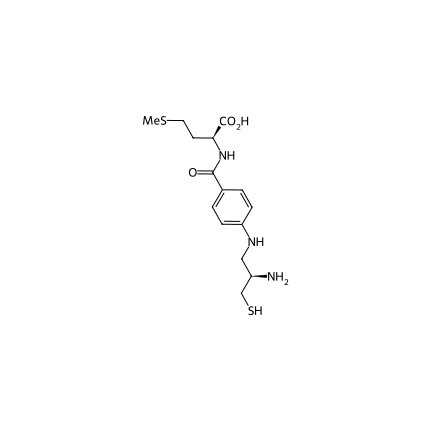 CSCC[C@H](NC(=O)c1ccc(NC[C@@H](N)CS)cc1)C(=O)O